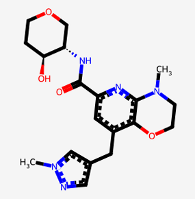 CN1CCOc2c(Cc3cnn(C)c3)cc(C(=O)N[C@H]3COCC[C@@H]3O)nc21